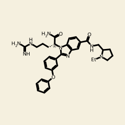 CCN1CCCC1CNC(=O)c1ccc2c(c1)nc(-c1cccc(Oc3ccccc3)c1)n2[C@H](CCCNC(=N)N)C(N)=O